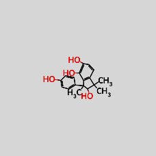 CC1(C)c2ccc(O)c(O)c2C(C)(c2ccc(O)cc2)C1O